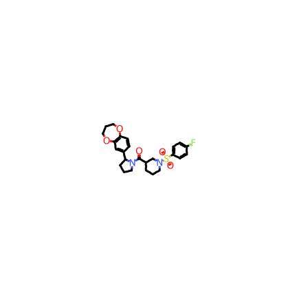 O=C(C1CCCN(S(=O)(=O)c2ccc(F)cc2)C1)N1CCCC1c1ccc2c(c1)OCCCO2